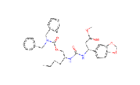 CCCCC(COC(=O)N(Cc1ccccc1)Cc1ccccc1)NC(=O)NC(CC(=O)OC)c1ccc2c(c1)OCO2